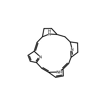 C1=CC2=NC1=CC1CCC(CC3CCC(=N3)C=c3ccc([nH]3)=C2)N1